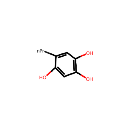 [CH2]CCc1cc(O)c(O)cc1O